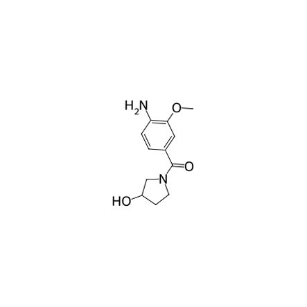 COc1cc(C(=O)N2CCC(O)C2)ccc1N